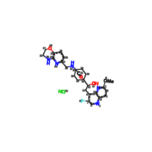 COc1ccc2ncc(F)c(CC(O)C34CCC(NCc5ccc6c(n5)NCCO6)(CC3)CO4)c2n1.Cl